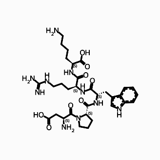 N=C(N)NCCC[C@H](NC(=O)[C@H](Cc1c[nH]c2ccccc12)NC(=O)[C@@H]1CCCN1C(=O)[C@@H](N)CC(=O)O)C(=O)N[C@@H](CCCCN)C(=O)O